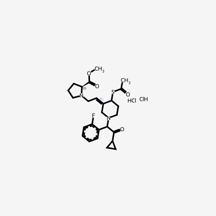 COC(=O)[C@@H]1CCCN1C/C=C1\CN(C(C(=O)C2CC2)c2ccccc2F)CCC1SC(C)=O.Cl.Cl